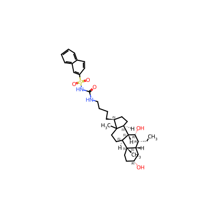 CC[C@H]1[C@@H](O)[C@H]2[C@@H]3CC[C@H](CCCCNC(=O)NS(=O)(=O)c4ccc5ccccc5c4)C3(C)CC[C@@H]2[C@@]2(C)CC[C@@H](O)C[C@@H]12